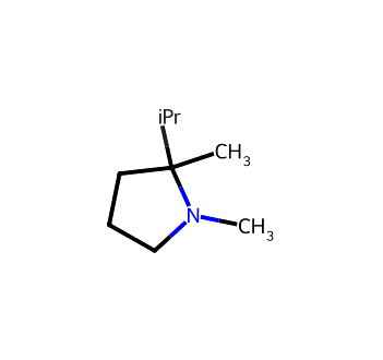 CC(C)C1(C)CCCN1C